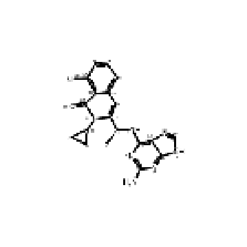 C[C@H](Nc1nc(N)nc2[nH]cnc12)c1cc2cccc(Cl)c2c(=O)n1C1CC1